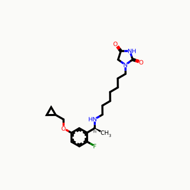 C[C@H](NCCCCCCCN1CC(=O)NC1=O)c1cc(OCC2CC2)ccc1F